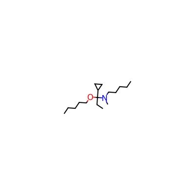 CCCCCOC(CC)(C1CC1)N(C)CCCCC